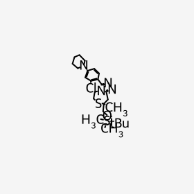 CC1(CO[Si](C)(C)C(C)(C)C)Cc2nnc(-c3ccc(N4CCCCC4)cc3Cl)n2CCS1